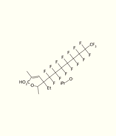 CCC(C=C(C)C(=O)O)(C(C)[O])C(F)(F)C(F)(F)C(F)(F)C(F)(F)C(F)(F)C(F)(F)C(F)(F)C(F)(F)F.[CH2]C(C)[O]